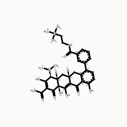 CN(C)[C@@H]1C(O)=C(C(N)=O)C(=O)[C@@]2(O)C(O)=C3C(=O)c4c(O)ccc(-c5cccc(C(=O)NCC[N+](C)(C)C)c5)c4C[C@H]3C[C@@H]12